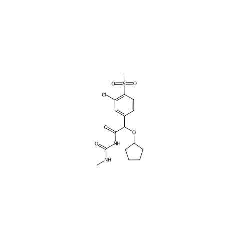 CNC(=O)NC(=O)C(OC1CCCC1)c1ccc(S(C)(=O)=O)c(Cl)c1